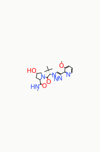 CNC(=O)C1CC(O)CN1C(=O)[C@@H](n1cc(-c2ncccc2OC)nn1)C(C)(C)C